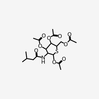 CC(=O)OCC1SC(OC(C)=O)C(NC(=O)CC(C)C)C(OC(C)=O)C1OC(C)=O